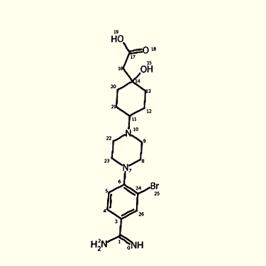 N=C(N)c1ccc(N2CCN(C3CCC(O)(CC(=O)O)CC3)CC2)c(Br)c1